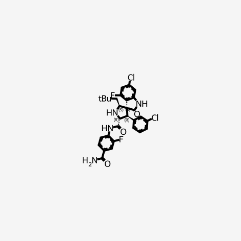 CC(C)(C)C[C@@H]1N[C@@H](C(=O)Nc2ccc(C(N)=O)cc2F)[C@H](c2cccc(Cl)c2)[C@]12C(=O)Nc1cc(Cl)cc(F)c12